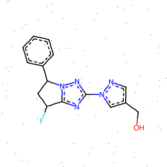 OCc1cnn(-c2nc3n(n2)C(c2ccccc2)CC3F)c1